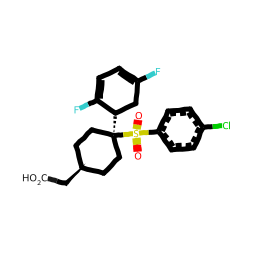 O=C(O)C[C@H]1CC[C@@](C2CC(F)=CC=C2F)(S(=O)(=O)c2ccc(Cl)cc2)CC1